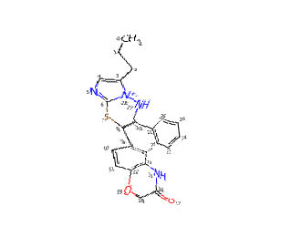 CCCC1=CN=C2SC(c3ccc4c(c3)NC(=O)CO4)C(c3ccccc3)N[N+]12